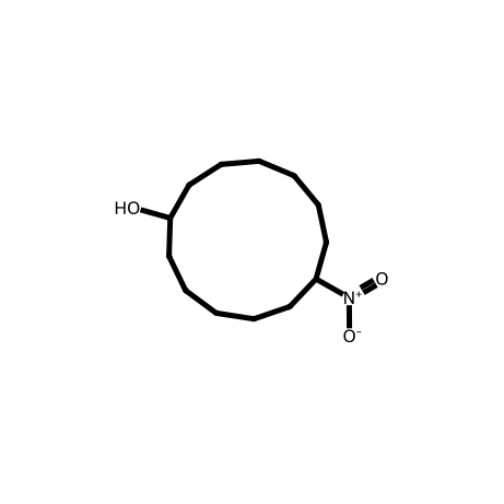 O=[N+]([O-])C1CCCCCCC(O)CCCCC1